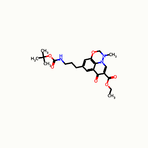 CCOC(=O)c1cn2c3c(cc(CCCNC(=O)OC(C)(C)C)cc3c1=O)OCN2C